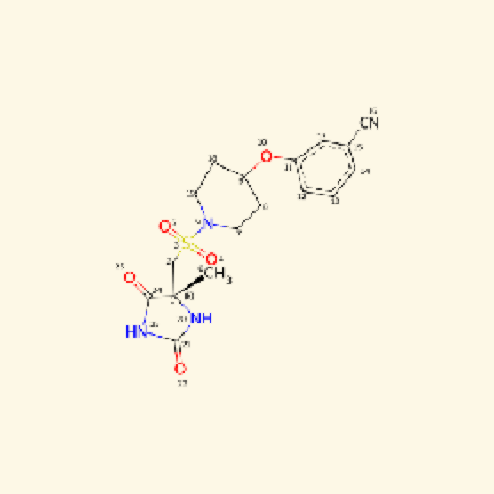 C[C@@]1(CS(=O)(=O)N2CCC(Oc3cccc(C#N)c3)CC2)NC(=O)NC1=O